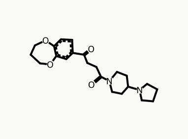 O=C(CCC(=O)N1CCC(N2CCCC2)CC1)c1ccc2c(c1)OCCCO2